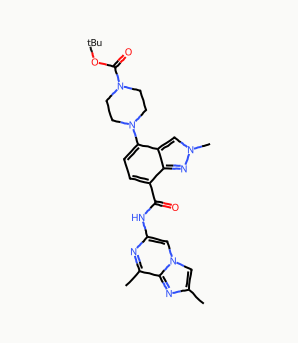 Cc1cn2cc(NC(=O)c3ccc(N4CCN(C(=O)OC(C)(C)C)CC4)c4cn(C)nc34)nc(C)c2n1